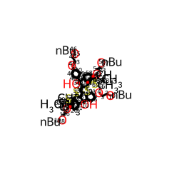 CCCCOCCOc1ccc(C(O)(c2ccc(OCCOCCCC)cc2)c2c(-c3ccc([Si](C)(C)C)s3)sc3c(C(O)(c4ccc(OCCOCCCC)cc4)c4ccc(OCCOCCCC)cc4)c(-c4ccc([Si](C)(C)C)s4)sc23)cc1